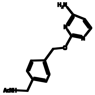 CC(=O)NCc1ccc(COc2nccc(N)n2)cc1